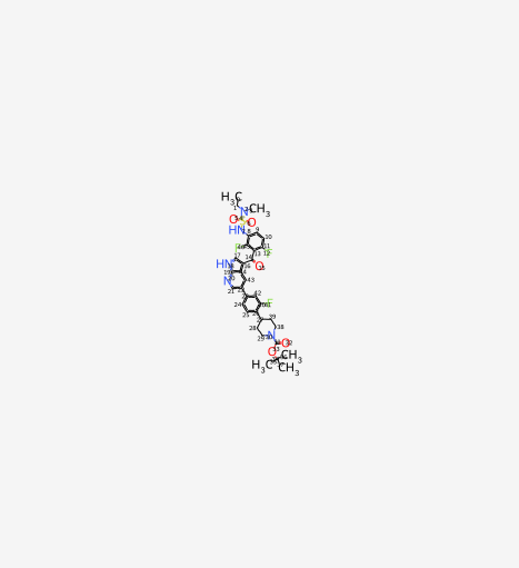 CCN(C)S(=O)(=O)Nc1ccc(F)c(C(=O)c2c[nH]c3ncc(-c4ccc(C5CCN(C(=O)OC(C)(C)C)CC5)c(F)c4)cc23)c1F